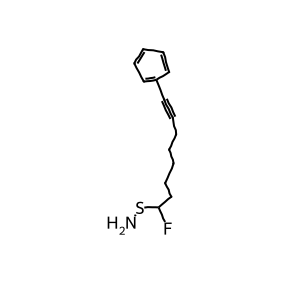 NSC(F)CCCCCC#Cc1ccccc1